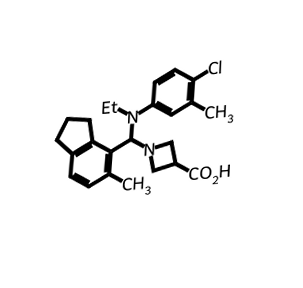 CCN(c1ccc(Cl)c(C)c1)C(c1c(C)ccc2c1CCC2)N1CC(C(=O)O)C1